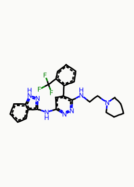 FC(F)(F)c1ccccc1-c1cc(Nc2n[nH]c3ccccc23)nnc1NCCN1CCCCC1